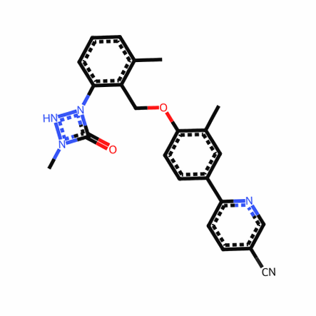 Cc1cc(-c2ccc(C#N)cn2)ccc1OCc1c(C)cccc1-n1[nH]n(C)c1=O